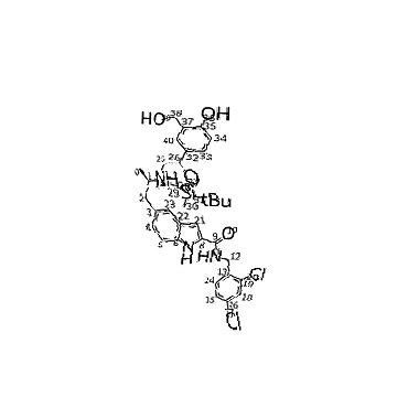 C[C@H](Cc1ccc2[nH]c(C(=O)NCc3ccc(Cl)cc3Cl)cc2c1)NC[C@@H](O[Si](C)(C)C(C)(C)C)c1ccc(O)c(CO)c1